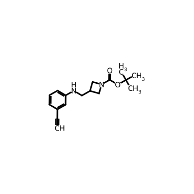 C#Cc1cccc(NCC2CN(C(=O)OC(C)(C)C)C2)c1